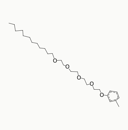 CCCCCCCCCCCCOCCOCCOCCOCCOc1cccc(C)c1